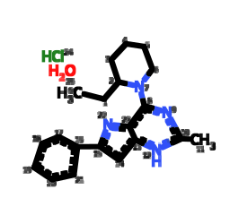 CCC1CCCCN1c1nc(C)[nH]c2cc(-c3ccccc3)nc1-2.Cl.O